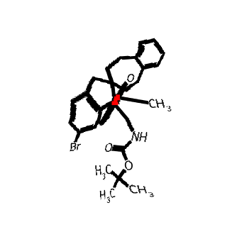 CN1C(=O)C2(N=C1NC(=O)OC(C)(C)C)c1cc(Br)ccc1CC21CCc2ccccc2CC1